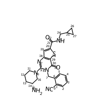 N#Cc1ccccc1Cn1c(N2CCC[C@@H](N)C2)nc2cc(C(=O)NCC3CC3)sc2c1=O